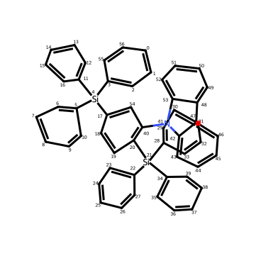 c1ccc([Si](c2ccccc2)(c2ccccc2)c2ccc([Si](c3ccccc3)(c3ccccc3)c3ccccc3)c(-n3c4ccccc4c4ccccc43)c2)cc1